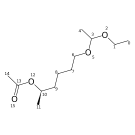 CCOC(C)OCCCC[C@@H](C)OC(C)=O